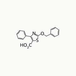 O=C(O)c1sc(OCc2ccccc2)nc1-c1ccccc1